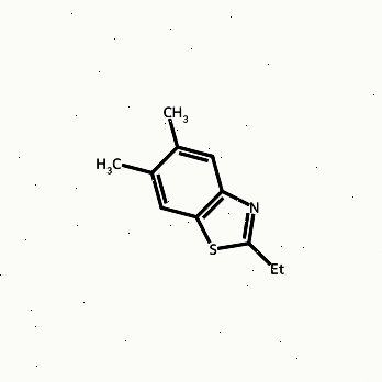 CCc1nc2cc(C)c(C)cc2s1